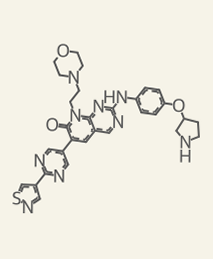 O=c1c(-c2cnc(-c3cnsc3)nc2)cc2cnc(Nc3ccc(OC4CCNC4)cc3)nc2n1CCN1CCOCC1